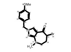 COc1ccc(Cn2cc3c(n2)N(C)CCC(Br)C3=O)cc1